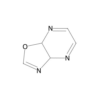 C1=NC2N=COC2N=C1